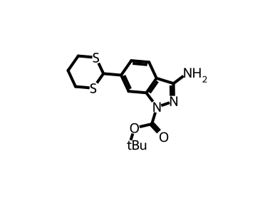 CC(C)(C)OC(=O)n1nc(N)c2ccc(C3SCCCS3)cc21